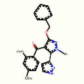 COc1ccc(C(=O)c2c(OCc3ccccc3)nn(C(C)C)c2-c2cc[nH]n2)c(OC)c1